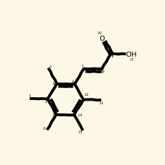 Cc1c(C)c(C)c(C=CC(=O)O)c(C)c1C